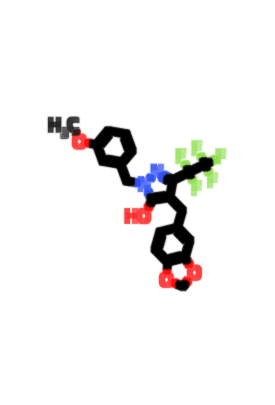 COc1cccc(Cn2nc(C(F)(F)C(F)(F)F)c(Cc3ccc4c(c3)OCO4)c2O)c1